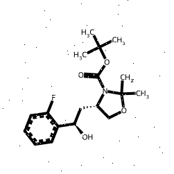 CC(C)(C)OC(=O)N1[C@@H](C[C@@H](O)c2ccccc2F)COC1(C)C